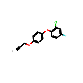 C#CCOc1ccc(Oc2c[c]c(F)cc2Cl)cc1